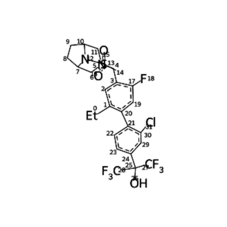 CCc1cc(CN2CC3CCC(C2)N3S(C)(=O)=O)c(F)cc1-c1ccc(C(O)(C(F)(F)F)C(F)(F)F)cc1Cl